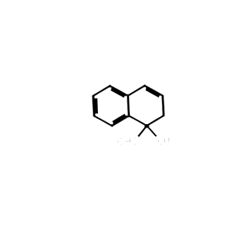 CC1(C=O)CC=Cc2ccccc21